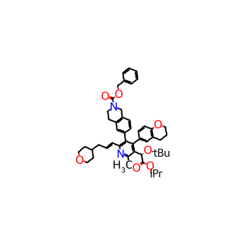 Cc1nc(/C=C/CC2CCOCC2)c(-c2ccc3c(c2)CCN(C(=O)OCc2ccccc2)C3)c(-c2ccc3c(c2)CCCO3)c1[C@H](OC(C)(C)C)C(=O)OC(C)C